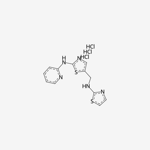 Cl.Cl.Cl.c1ccc(Nc2ncc(CNc3nccs3)s2)nc1